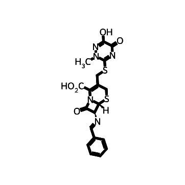 Cn1nc(O)c(=O)nc1SCC1=C(C(=O)O)N2C(=O)[C@@H](/N=C/c3ccccc3)[C@H]2SC1